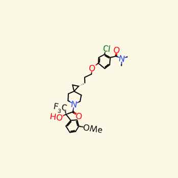 COc1cccc([C@](O)(C(=O)N2CCC3(CC2)C[C@@H]3CCCOc2ccc(C(=O)N(C)C)c(Cl)c2)C(F)(F)F)c1